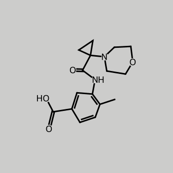 Cc1ccc(C(=O)O)cc1NC(=O)C1(N2CCOCC2)CC1